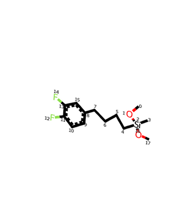 CO[Si](C)(CCCCc1ccc(F)c(F)c1)OC